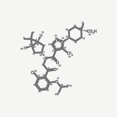 CC1(C)[C@@H]2C[C@H](N(CC(=O)c3c(Cl)cccc3OC(F)F)C(=O)c3cnn([C@H]4CC[C@](C)(C(=O)O)CC4)c3C(F)(F)F)C[C@@H]21